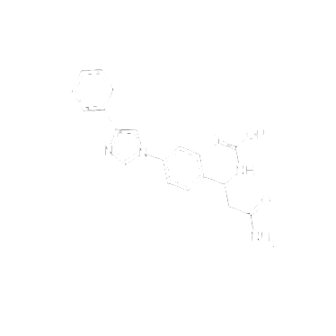 NC(=O)CC(NC(=O)O)c1ccc(-n2cnc(-c3ccccc3)c2)cc1